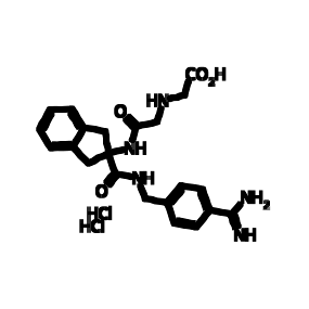 Cl.Cl.N=C(N)c1ccc(CNC(=O)C2(NC(=O)CNCC(=O)O)Cc3ccccc3C2)cc1